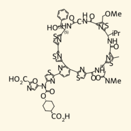 CNC(=O)C[C@@H]1NC(=O)c2csc(n2)-c2ccc(-c3nc(N(C(=O)O[C@H]4CC[C@H](C(=O)O)CC4)c4cnc(C(=O)O)o4)cs3)nc2-c2csc(n2)-c2csc(n2)[C@H]([C@@H](O)c2ccccc2)NC(=O)CNC(=O)c2nc(sc2COC)C(C(C)C)NC(=O)c2nc1sc2C